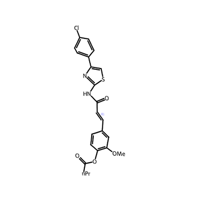 CCCC(=O)Oc1ccc(/C=C/C(=O)Nc2nc(-c3ccc(Cl)cc3)cs2)cc1OC